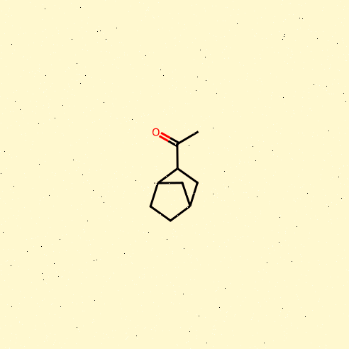 CC(=O)C1CC2CC[C]1C2